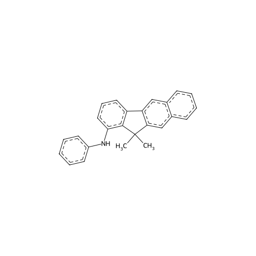 CC1(C)c2cc3ccccc3cc2-c2cccc(Nc3ccccc3)c21